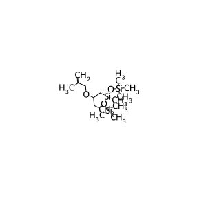 C=C(C)COC(CC)C[Si](C)(O[Si](C)(C)C)O[Si](C)(C)C